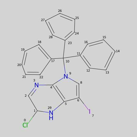 ClC1C=Nc2c(c(I)cn2C(c2ccccc2)(c2ccccc2)c2ccccc2)N1